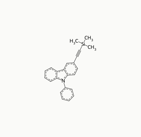 C[Si](C)(C)C#Cc1ccc2c(c1)c1ccccc1n2-c1ccccc1